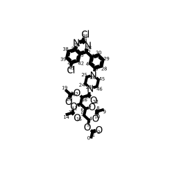 CC(=O)OCCC(OC(C)=O)C(OC(C)=O)C(OC(C)=O)C(=O)N1CCN(c2cccc(-c3nc(Cl)nc4ccc(Cl)cc34)c2)CC1